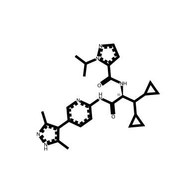 Cc1n[nH]c(C)c1-c1ccc(NC(=O)[C@@H](NC(=O)c2ccnn2C(C)C)C(C2CC2)C2CC2)nc1